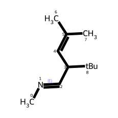 C/N=C/C(C=C(C)C)C(C)(C)C